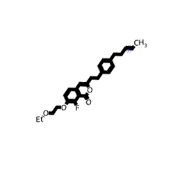 C/C=C/CCc1ccc(CCc2cc3ccc(OCCOCC)c(F)c3c(=O)o2)cc1